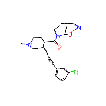 CN1CCC(C(=O)N2CCC3C=NOC32)C(C#Cc2cccc(Cl)c2)C1